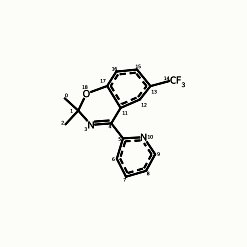 CC1(C)N=C(c2ccccn2)c2cc(C(F)(F)F)ccc2O1